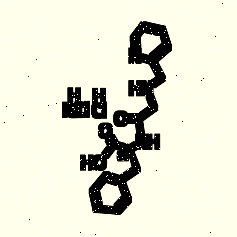 Cl.Cl.Cl.O=C(CNCc1ccccn1)N[C@@H](Cc1ccccc1)C(=O)O